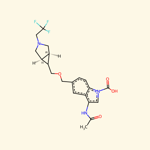 CC(=O)Nc1cn(C(=O)O)c2ccc(COCC3[C@H]4CN(CC(F)(F)F)C[C@@H]34)cc12